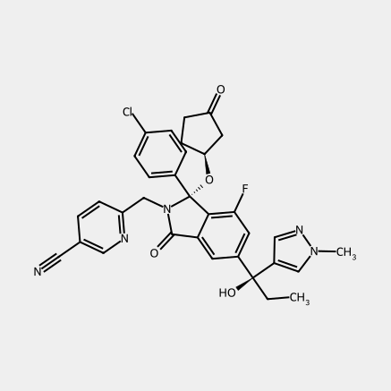 CC[C@](O)(c1cc(F)c2c(c1)C(=O)N(Cc1ccc(C#N)cn1)[C@@]2(O[C@H]1CCC(=O)C1)c1ccc(Cl)cc1)c1cnn(C)c1